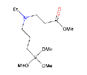 CCN(CCC[Si](OC)(OC)OC)CCC(=O)OC